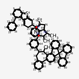 CC/C1=C(C2C=c3sc4cccc(-c5ccccc5)c4c3=CC2)/N=C(/c2cccc(C3Cc4ccccc4-c4ccc5c(c4C3C)-c3ccccc3C53c4ccccc4-c4ccccc43)c2)C(C)/C(C)=C(\c2ccccc2)C1